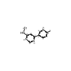 CCNc1cc(-c2ccc(C)nc2)ncn1